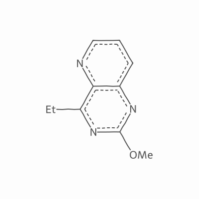 CCc1nc(OC)nc2cccnc12